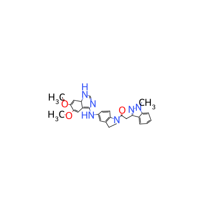 COC1=CC2=C(Nc3ccc4c(c3)CCN4C(=O)Cc3nn(C)c4ccccc34)N=CNC2C=C1OC